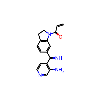 C=CC(=O)N1CCc2ccc(C(=N)c3ccncc3N)cc21